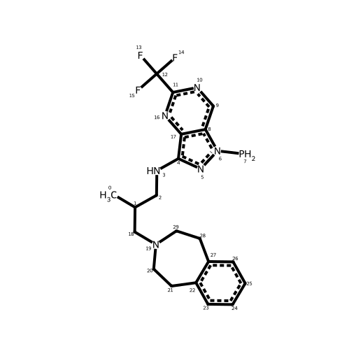 CC(CNc1nn(P)c2cnc(C(F)(F)F)nc12)CN1CCc2ccccc2CC1